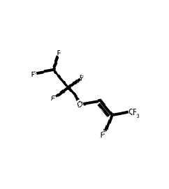 FC(=COC(F)(F)C(F)F)C(F)(F)F